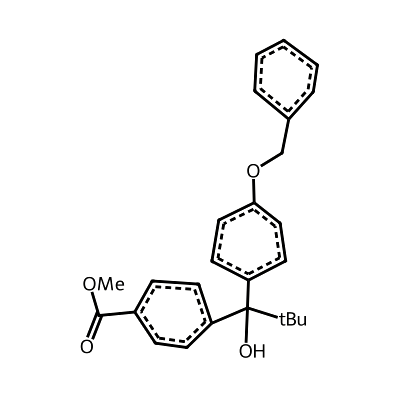 COC(=O)c1ccc(C(O)(c2ccc(OCc3ccccc3)cc2)C(C)(C)C)cc1